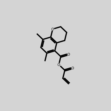 C=CC(=O)OC(=O)c1c(C)cc(C)c2c1CCCO2